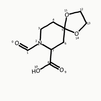 O=CN1CCC2(CC1C(=O)O)OCCO2